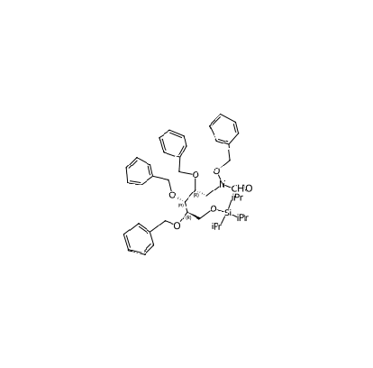 CC(C)[Si](OC[C@@H](OCc1ccccc1)[C@H](OCc1ccccc1)[C@@H](CN(C=O)OCc1ccccc1)OCc1ccccc1)(C(C)C)C(C)C